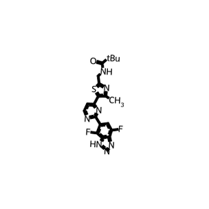 Cc1nc(CNC(=O)C(C)(C)C)sc1-c1ccnc(-c2cc(F)c3nn[nH]c3c2F)n1